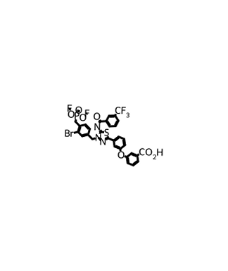 O=C(O)c1cccc(Oc2cccc(-c3nn(Cc4ccc(CP(=O)(OF)OF)c(Br)c4)c(=NC(=O)c4cccc(C(F)(F)F)c4)s3)c2)c1